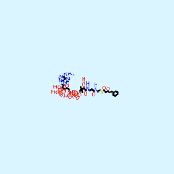 CC(C)(COP(=O)(O)OP(=O)(O)OCC1OC(C)(n2cnc3c(N)ncnc32)C(O)C1OP(=O)(O)O)C(O)C(=O)NCCC(=O)NCCSC(=O)CC(=O)CCc1ccccc1